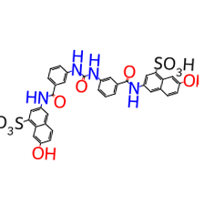 O=C(Nc1cccc(C(=O)Nc2cc(S(=O)(=O)O)c3cc(O)ccc3c2)c1)Nc1cccc(C(=O)Nc2cc(S(=O)(=O)O)c3cc(O)ccc3c2)c1